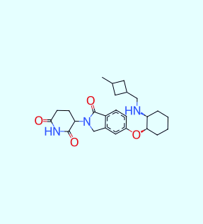 CC1CC(CN[C@H]2CCCC[C@H]2Oc2ccc3c(c2)CN(C2CCC(=O)NC2=O)C3=O)C1